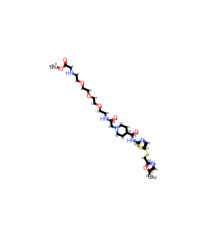 CC(C)(C)OC(=O)CNCCOCCOCCOCCNC(=O)CN1CCC(C(=O)Nc2ncc(SCc3ncc(C(C)(C)C)o3)s2)CC1